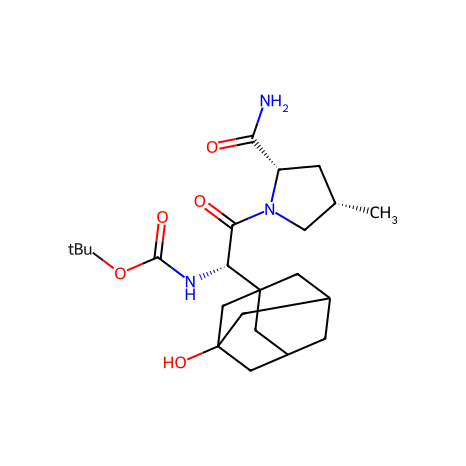 C[C@H]1C[C@@H](C(N)=O)N(C(=O)[C@@H](NC(=O)OC(C)(C)C)C23CC4CC(CC(O)(C4)C2)C3)C1